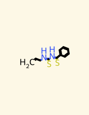 C=CCNC(=S)NC(=S)c1ccccc1